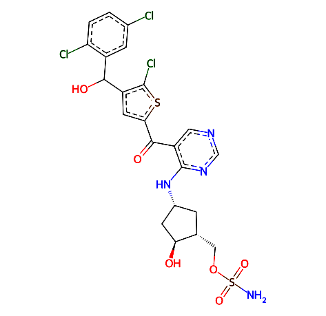 NS(=O)(=O)OC[C@H]1C[C@@H](Nc2ncncc2C(=O)c2cc(C(O)c3cc(Cl)ccc3Cl)c(Cl)s2)C[C@@H]1O